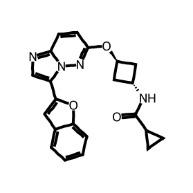 O=C(N[C@H]1C[C@H](Oc2ccc3ncc(-c4cc5ccccc5o4)n3n2)C1)C1CC1